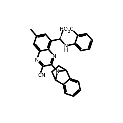 Cc1cc([C@@H](C)Nc2ccccc2C(=O)O)c2nc(N3C4CCC3c3ccccc34)c(C#N)nc2c1